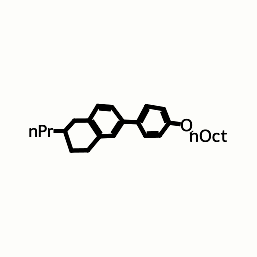 CCCCCCCCOc1ccc(-c2ccc3c(c2)CCC(CCC)C3)cc1